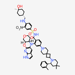 Cc1ccccc1[C@@H]1CC(C)(C)CCN1C1CC2(CCN(c3ccc(C(=O)NS(=O)(=O)c4ccc(NC[C@H]5CC[C@](C)(O)CC5)c([N+](=O)[O-])c4)c(N4c5cc6cc[nH]c6nc5O[C@H]5COCC[C@@H]54)c3)CC2)C1